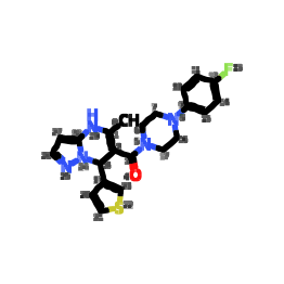 CC1=C(C(=O)N2CCN(c3ccc(F)cc3)CC2)C(c2ccsc2)n2nccc2N1